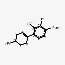 CCCCCc1ccc(C2=CCC(CCC)CC2)c(Cl)c1F